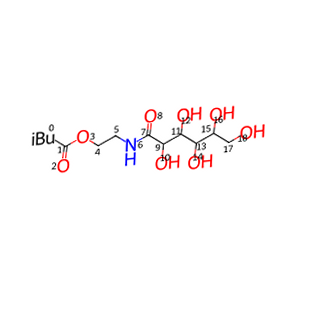 CCC(C)C(=O)OCCNC(=O)C(O)C(O)C(O)C(O)CO